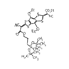 [C-]#[N+]C(C(=O)OCC)=C1Sc2c(OCC)c3c(c(OCC)c2S1)SC(=C(C#N)C(=O)OCCC[Si](C)(O[Si](C)(C)C)O[Si](C)(C)C)S3